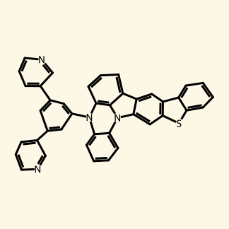 c1cncc(-c2cc(-c3cccnc3)cc(N3c4ccccc4-n4c5cc6sc7ccccc7c6cc5c5cccc3c54)c2)c1